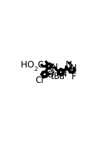 Cc1cc2nc(-c3ccnc(-c4cn(C)c5ncc(F)cc45)c3)sc2c(-c2ccc(Cl)cc2OC(C)(C)C)c1CC(=O)O